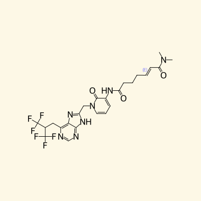 CN(C)C(=O)/C=C/CCCC(=O)Nc1cccn(Cc2nc3c(CC(C(F)(F)F)C(F)(F)F)ncnc3[nH]2)c1=O